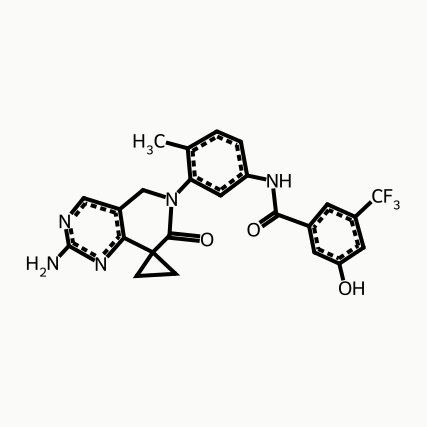 Cc1ccc(NC(=O)c2cc(O)cc(C(F)(F)F)c2)cc1N1Cc2cnc(N)nc2C2(CC2)C1=O